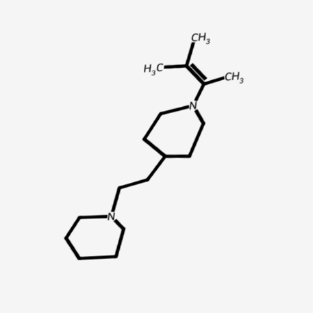 CC(C)=C(C)N1CCC(CCN2CCCCC2)CC1